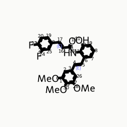 COc1cc(/C=C/c2cccc(O)c2NC(=O)/C=C/c2ccc(F)c(F)c2)cc(OC)c1OC